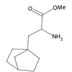 COC(=O)C(N)CC12CCC(CC1)C2